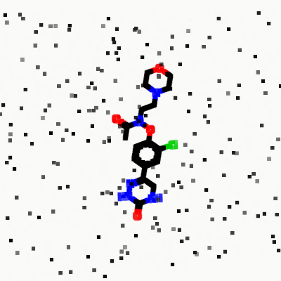 CC(=O)N(CCN1CCOCC1)Oc1ccc(C2=NNC(=O)NC2)cc1Cl